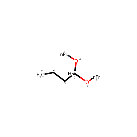 CCCO[SiH](CCC(F)(F)F)OCCC